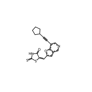 O=C1NC(=S)SC1=Cc1cc2cncc(C#CC3CCCC3)c2o1